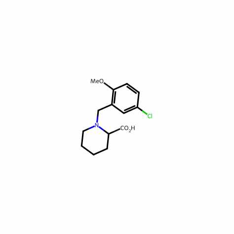 COc1ccc(Cl)cc1CN1CCCCC1C(=O)O